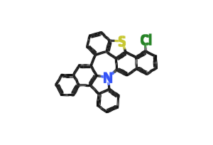 Clc1cccc2cc3c4c(sc5cccc(c6cc7ccccc7c7c8ccccc8n3c67)c54)c12